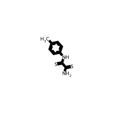 Cc1ccc(NC(=S)C(N)=S)cc1